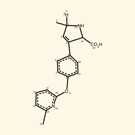 [2H]C1(C)C=C(c2ccc(Oc3cccc(C)n3)cc2)C(C(=O)O)N1